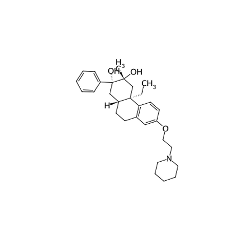 CC[C@@]12C[C@@](C)(O)[C@](O)(c3ccccc3)C[C@H]1CCc1cc(OCCN3CCCCC3)ccc12